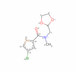 C[N+](CC1OCCO1)C(=O)c1cc(Br)cs1